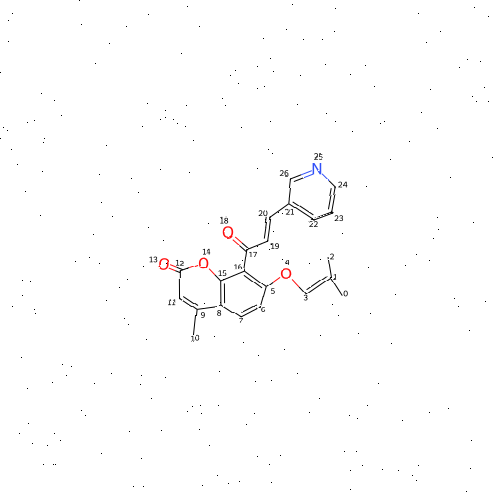 CC(C)=COc1ccc2c(C)cc(=O)oc2c1C(=O)C=Cc1cccnc1